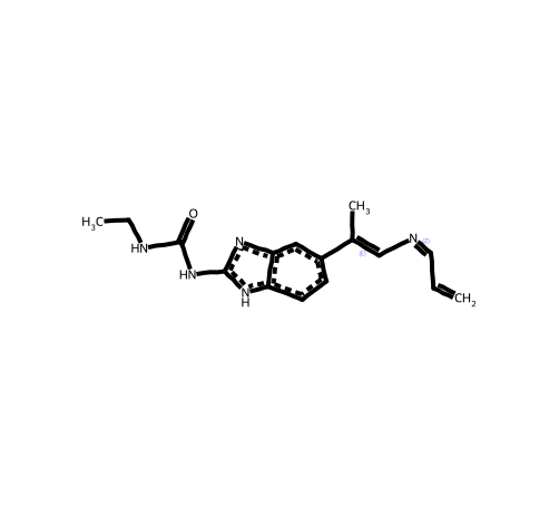 C=C/C=N\C=C(/C)c1ccc2[nH]c(NC(=O)NCC)nc2c1